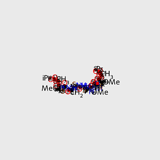 C=C(C(=O)NC1C(=O)N2C(C(=O)OC(C)OC(=O)OC(C)C)=C(COC)CSC12)c1csc(NC(=O)Nc2nc(/C(=N/OC)C(=O)N[C@@H]3C(=O)N4C(C(=O)OC(C)OC(=O)OC(C)C)=C(COC)CS[C@H]34)cs2)n1